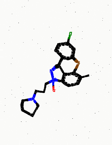 Cc1ccc2c3c1Sc1cc(Cl)ccc1C3=N[N+]2([O-])CCCN1CCCC1